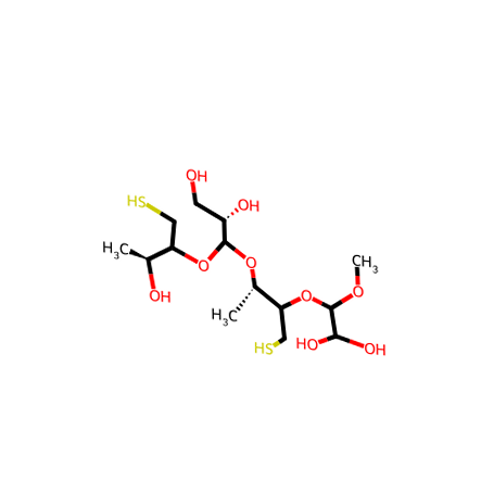 COC(OC(CS)[C@H](C)OC(OC(CS)[C@H](C)O)[C@@H](O)CO)C(O)O